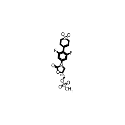 CS(=O)(=O)OC[C@H]1CN(c2cc(F)c(C3=CCS(=O)(=O)CC3)c(F)c2)C(=O)O1